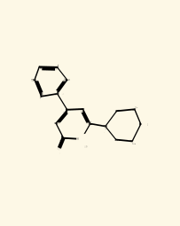 O=c1cc(-c2ccccc2)cc(C2CCCCC2)o1